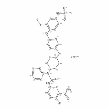 COc1cc(NS(C)(=O)=O)ccc1Oc1ccc(CN2CCC(N(C(=O)Nc3ccc(F)c(C(N)=O)c3)c3ccccc3)CC2)cn1.Cl